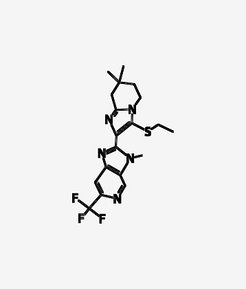 CCSc1c(-c2nc3cc(C(F)(F)F)ncc3n2C)nc2n1CCC(C)(C)C2